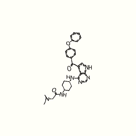 CN(C)CC(=O)N[C@H]1CC[C@@H](Nc2ncnc3[nH]cc(C(=O)c4ccc(Oc5ccccc5)cc4)c23)CC1